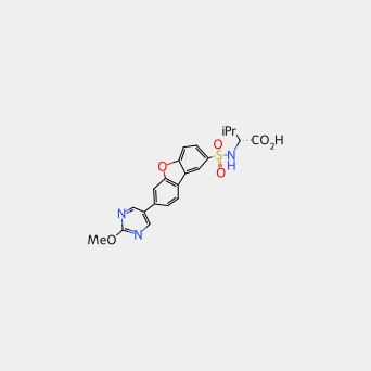 COc1ncc(-c2ccc3c(c2)oc2ccc(S(=O)(=O)N[C@@H](C(=O)O)C(C)C)cc23)cn1